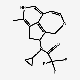 CC1=C2CC(N(C(=O)C(F)(F)F)C3CC3)C3=C2C(=CN1)C=COC3